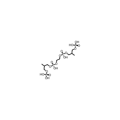 CC(COP(=O)(O)O)COP(=O)(O)OCCOP(=O)(O)OCC(C)COP(=O)(O)O